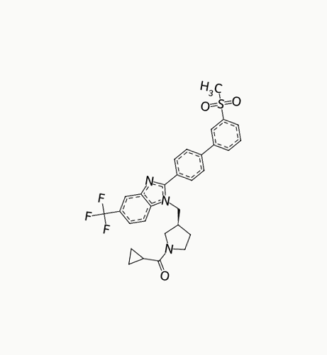 CS(=O)(=O)c1cccc(-c2ccc(-c3nc4cc(C(F)(F)F)ccc4n3C[C@H]3CCN(C(=O)C4CC4)C3)cc2)c1